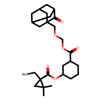 CC(C)(C)CC1(C(=O)OC2CCCC(C(=O)OCOCC34CC5CC(CC(C5)C3=O)C4)C2)CC1(C)C